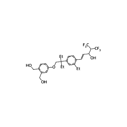 CCc1cc(C(CC)(CC)COc2ccc(CO)c(CO)c2)ccc1C=CC(O)C(C(F)(F)F)C(F)(F)F